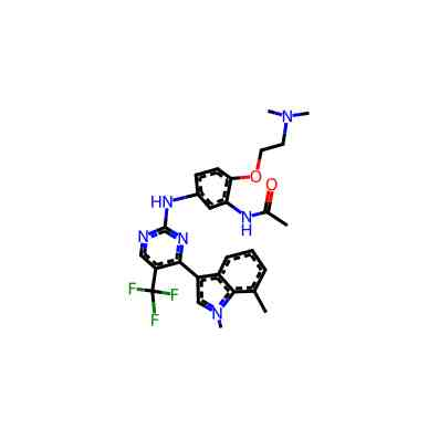 CC(=O)Nc1cc(Nc2ncc(C(F)(F)F)c(-c3cn(C)c4c(C)cccc34)n2)ccc1OCCN(C)C